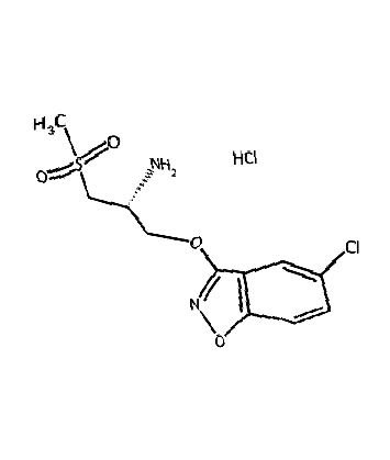 CS(=O)(=O)C[C@H](N)COc1noc2ccc(Cl)cc12.Cl